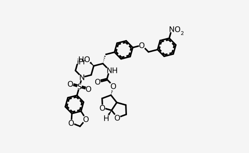 CC(C)CN(C[C@@H](O)[C@H](Cc1ccc(OCc2cccc([N+](=O)[O-])c2)cc1)NC(=O)O[C@H]1CO[C@H]2OCCC21)S(=O)(=O)c1ccc2c(c1)OCO2